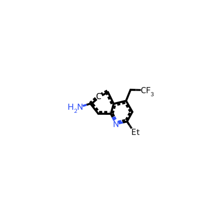 CCc1cc(CC(F)(F)F)c2ccc(N)cc2n1